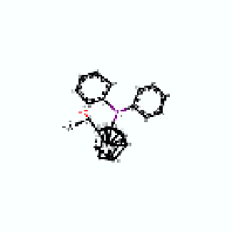 C[C@@H](O)[C@@]12[CH]3[CH]4[CH]5[C]1(P(c1ccccc1)c1ccccc1)[Fe]45321678[CH]2[CH]1[CH]6[CH]7[CH]28